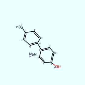 CCCCc1ccc(-c2ccc(O)cc2)cc1.[NaH]